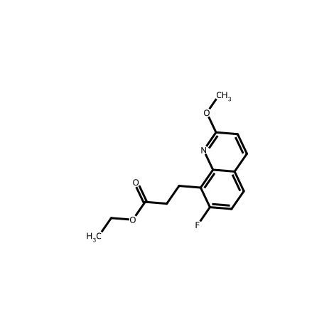 CCOC(=O)CCc1c(F)ccc2ccc(OC)nc12